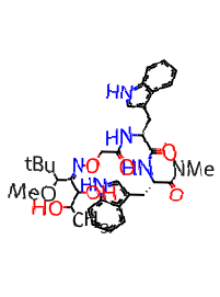 CNC(=O)[C@H](Cc1c[nH]c2ccccc12)NC(=O)[C@H](Cc1c[nH]c2ccccc12)NC(=O)CO/N=C(\C(O)C(C)O)[C@@H](OC)C(C)(C)C